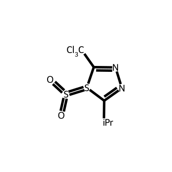 CC(C)C1=NN=C(C(Cl)(Cl)Cl)S1=S(=O)=O